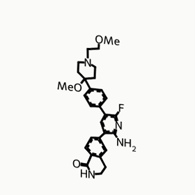 COCCN1CCC(OC)(c2ccc(-c3cc(-c4ccc5c(c4)CCNC5=O)c(N)nc3F)cc2)CC1